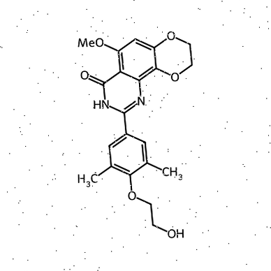 COc1cc2c(c3nc(-c4cc(C)c(OCCO)c(C)c4)[nH]c(=O)c13)OCCO2